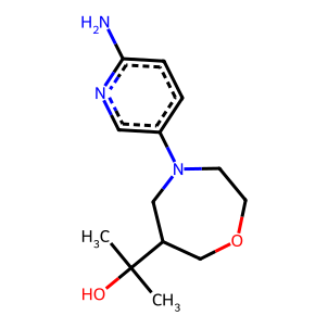 CC(C)(O)C1COCCN(c2ccc(N)nc2)C1